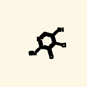 CC(C)(C)n1ncc(S)c(Cl)c1=O